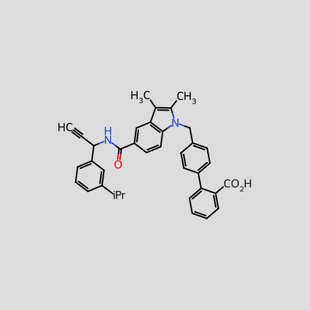 C#CC(NC(=O)c1ccc2c(c1)c(C)c(C)n2Cc1ccc(-c2ccccc2C(=O)O)cc1)c1cccc(C(C)C)c1